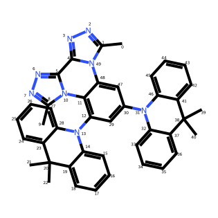 Cc1nnc2c3nnc(C)n3c3c(N4c5ccccc5C(C)(C)c5ccccc54)cc(N4c5ccccc5C(C)(C)c5ccccc54)cc3n12